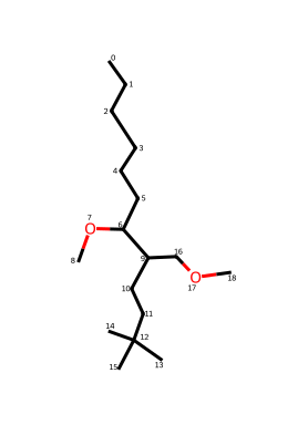 CCCCCCC(OC)C(CCC(C)(C)C)COC